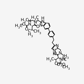 CCCN(Cc1nc(CCc2ccc(-c3ccc4[nH]c(C(C)N(CCC)C(=O)[C@@H](NC(=O)OC)C(C)C)nc4c3)cc2)c[nH]1)C(=O)[C@@H](NC(=O)OC)C(C)C